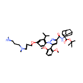 CNCCCN(C)CCCOc1ccc(-n2nc(C(=O)NC3(C(=O)OC(C)(C)C)C4CC5CC(C4)CC3C5)cc2-c2c(OC)cccc2OC)c(C(C)C)c1